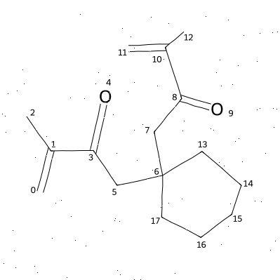 C=C(C)C(=O)CC1(CC(=O)C(=C)C)CCCCC1